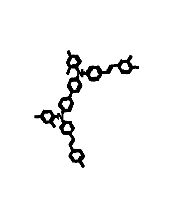 Cc1ccc(/C=C/c2ccc(N(c3ccc(-c4ccc(N(c5ccc(/C=C/c6ccc(C)c(C)c6)cc5)c5ccc(C)cc5C)cc4)cc3)c3ccc(C)cc3C)cc2)cc1